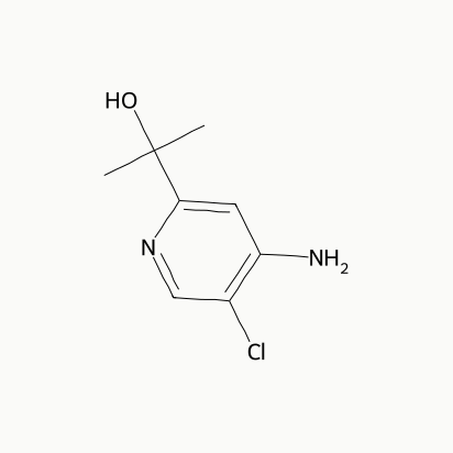 CC(C)(O)c1cc(N)c(Cl)cn1